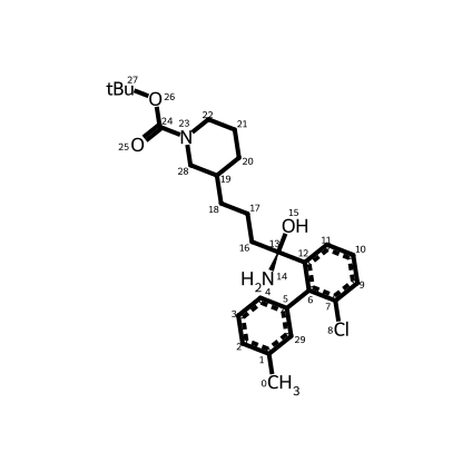 Cc1cccc(-c2c(Cl)cccc2[C@@](N)(O)CCCC2CCCN(C(=O)OC(C)(C)C)C2)c1